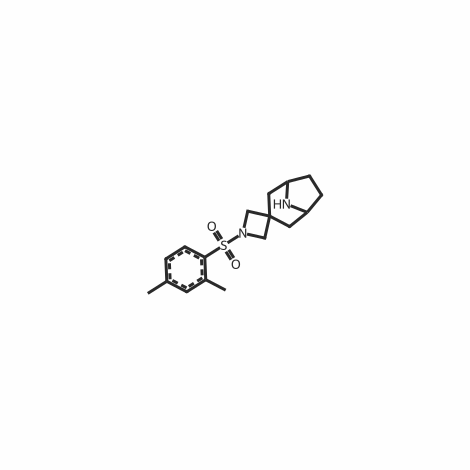 Cc1ccc(S(=O)(=O)N2CC3(CC4CCC(C3)N4)C2)c(C)c1